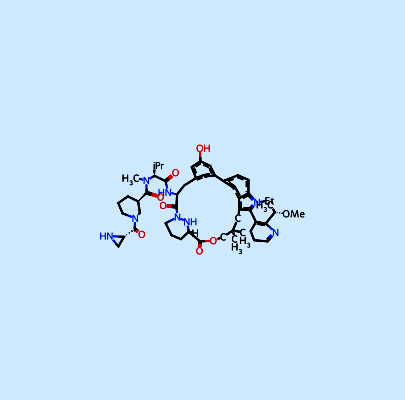 CCn1c(C2=C([C@H](C)OC)N=CCC2)c2c3cc(ccc31)-c1cc(O)cc(c1)C[C@H](NC(=O)[C@H](C(C)C)N(C)C(=O)[C@@H]1CCCN(C(=O)[C@@H]3CN3)C1)C(=O)N1CCC[C@H](N1)C(=O)OCC(C)(C)C2